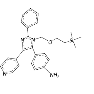 C[Si](C)(C)CCOCn1c(-c2ccccc2)nc(-c2ccncc2)c1-c1ccc(N)cc1